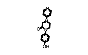 O=C1CN(c2ccncc2)CCN1c1ccc(O)cc1